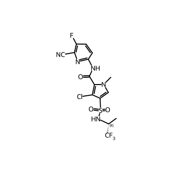 C[C@@H](NS(=O)(=O)c1cn(C)c(C(=O)Nc2ccc(F)c(C#N)n2)c1Cl)C(F)(F)F